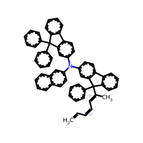 C=C/C=C\C=C(/C)C1(c2ccccc2)c2ccccc2-c2ccc(N(c3ccc4c(c3)C(c3ccccc3)(c3ccccc3)c3ccccc3-4)c3ccc4ccccc4c3)cc21